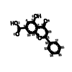 O=C(O)c1cc(O)c2c(=O)cc(-c3ccccc3)oc2c1